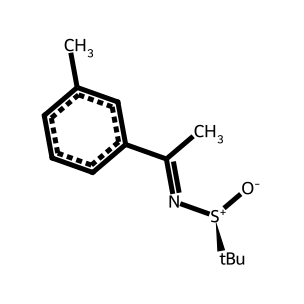 C/C(=N\[S@@+]([O-])C(C)(C)C)c1cccc(C)c1